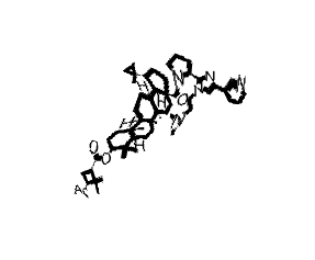 CC(=O)[C@@H]1C[C@H](C(=O)O[C@H]2CC[C@]3(C)[C@H]4CC[C@@H]5[C@H]6[C@H](C7(C)CC7)CC[C@]6(C(=O)N6CCC[C@H]6c6nc(-c7cccnc7)cn6CCN(C)C)CC[C@@]5(C)[C@]4(C)CC[C@H]3C2(C)C)C1(C)C